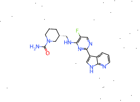 NC(=O)N1CCC[C@H](CNc2nc(-c3c[nH]c4ncccc34)ncc2F)C1